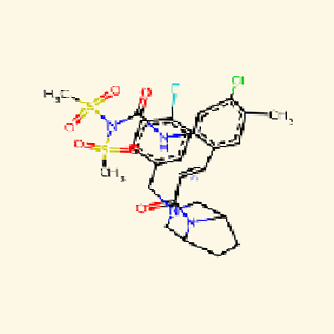 Cc1cc(/C=C/C(=O)N2C3CCC2CN(Cc2ccc(F)cc2)C3)c(NC(=O)N(S(C)(=O)=O)S(C)(=O)=O)cc1Cl